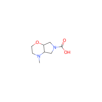 CN1CCOC2CN(C(=O)O)CC21